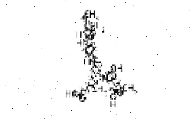 CCCN(CCN(CCN(CCC(C)CCCC(=O)O)CC(=O)NCc1ccc(NC(=O)N[C@@H](CCSC)C(N)=O)cc1)CC(=O)O)CC(=O)O